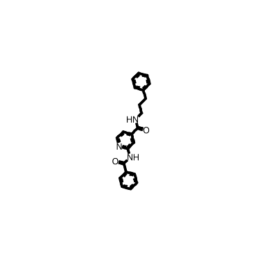 O=C(NCCCc1ccccc1)c1ccnc(NC(=O)c2ccccc2)c1